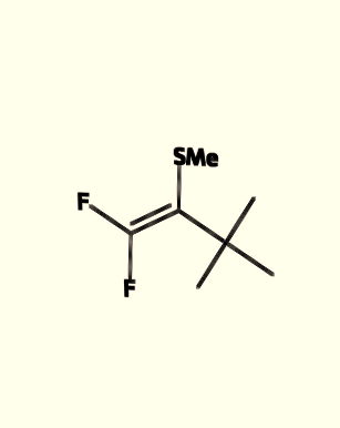 CSC(=C(F)F)C(C)(C)C